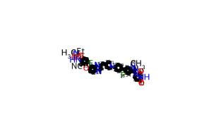 CCN(C)S(=O)(=O)Nc1ccc(F)c(Oc2ccc3ncc(CC4CCN(C5CCC(c6cc7c(cc6F)c(N6CCC(=O)NC6=O)nn7C)CC5)CC4)nc3c2)c1C#N